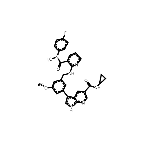 CC(C)Oc1cc(CNc2ncccc2C(=O)N(C)c2ccc(F)cc2)cc(-c2c[nH]c3ncc(C(=O)NC4CC4)cc23)c1